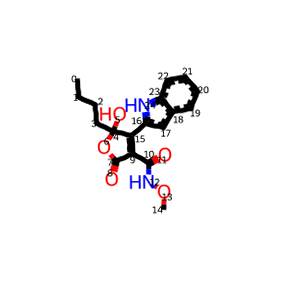 CCCCC1(O)OC(=O)C(C(=O)NOC)=C1c1cc2ccccc2[nH]1